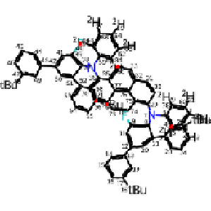 [2H]c1c([2H])c([2H])c(N(c2c(F)cc(-c3cccc(C(C)(C)C)c3)cc2-c2cccc(C(C)(C)C)c2)c2ccc3ccc4c(N(c5c(F)cc(-c6cccc(C(C)(C)C)c6)cc5-c5cccc(C(C)(C)C)c5)c5c([2H])c([2H])c([2H])c([2H])c5[2H])ccc5ccc2c3c54)c([2H])c1[2H]